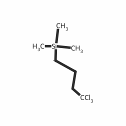 C[Si](C)(C)[CH]CCC(Cl)(Cl)Cl